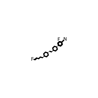 N#Cc1ccc([C@H]2CC[C@H](CC[C@H]3CC[C@H](CCCC=CF)CC3)CC2)cc1F